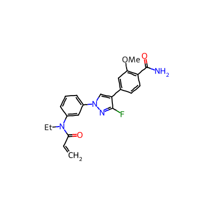 C=CC(=O)N(CC)c1cccc(-n2cc(-c3ccc(C(N)=O)c(OC)c3)c(F)n2)c1